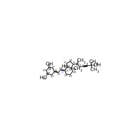 C[C@@H](CC#CC(C)(C)O)C1CC[C@@H]2/C(=C/C=C3C[C@@H](O)C[C@H](O)C3)CCC[C@]12C